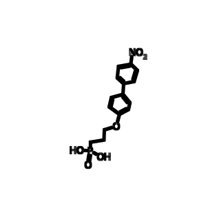 O=[N+]([O-])c1ccc(-c2ccc(OCCCP(=O)(O)O)cc2)cc1